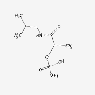 CC(C)CNC(=O)C(C)OP(=O)(O)O